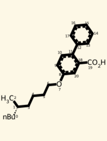 CCCC[C@H](C)CCCCOc1ccc(-c2ccccc2)c(C(=O)O)c1